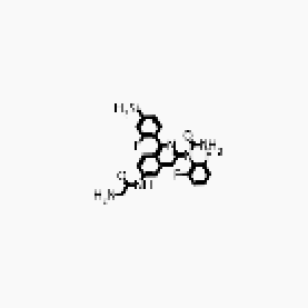 NCC(=O)Nc1ccc2c(-c3ccc([SiH3])cc3F)nc(N(C(N)=O)c3c(F)cccc3F)cc2c1